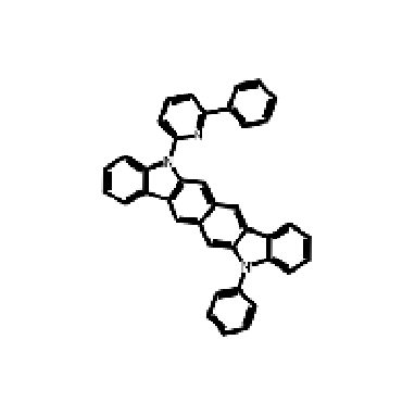 c1ccc(-c2cccc(-n3c4ccccc4c4cc5cc6c(cc5cc43)c3ccccc3n6-c3ccccc3)n2)cc1